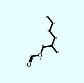 CCCCC(C)CO[C]=O